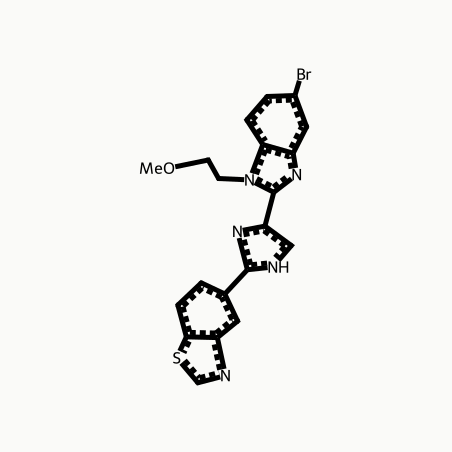 COCCn1c(-c2c[nH]c(-c3ccc4scnc4c3)n2)nc2cc(Br)ccc21